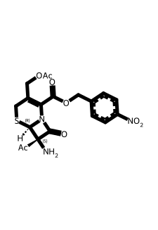 CC(=O)OCC1=C(C(=O)OCc2ccc([N+](=O)[O-])cc2)N2C(=O)[C@@](N)(C(C)=O)[C@H]2SC1